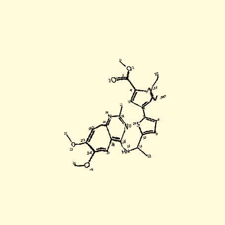 COC(=O)c1cc(-c2ccc(C(C)Nc3nc(C)nc4cc(OC)c(OC)cc34)s2)nn1C